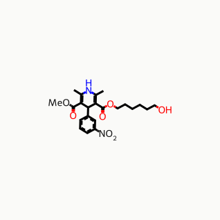 COC(=O)C1=C(C)NC(C)=C(C(=O)OCCCCCCO)C1c1cccc([N+](=O)[O-])c1